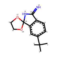 CC(C)(C)c1ccc2c(c1)C1(NC2=N)OCCO1